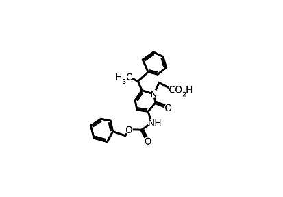 CC(c1ccccc1)c1ccc(NC(=O)OCc2ccccc2)c(=O)n1CC(=O)O